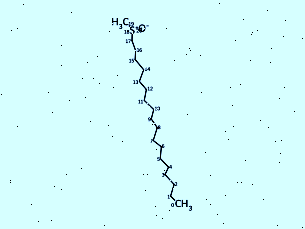 CCCCCCCCCCCCCCCCCC[S+](C)[O-]